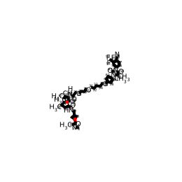 Cc1ncoc1C12CC(CNC(=O)C3C[C@@H](C)CN3C(=O)C(NC(=O)COCCCOCCCCCOc3ccc(N4C(=O)N(c5ccc(C#N)c(C(F)(F)F)c5)C(=O)C4(C)C)cc3)C(C)(C)C)(C1)C2